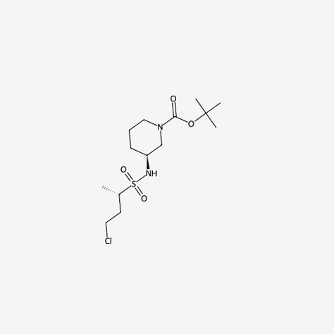 C[C@@H](CCCl)S(=O)(=O)N[C@H]1CCCN(C(=O)OC(C)(C)C)C1